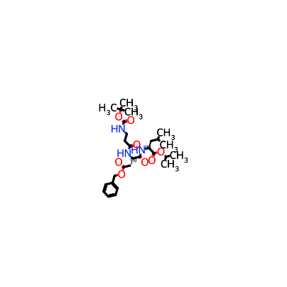 CC(C)C[C@H](NC(=O)[C@H](CC(=O)OCc1ccccc1)NC(=O)CCNC(=O)OC(C)(C)C)C(=O)OC(C)C